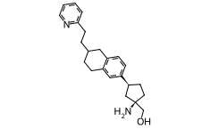 N[C@]1(CO)CC[C@H](c2ccc3c(c2)CCC(CCc2ccccn2)C3)C1